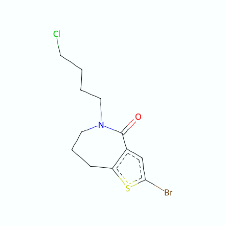 O=C1c2cc(Br)sc2CCCN1CCCCCl